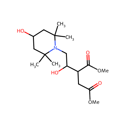 COC(=O)CC(C(=O)OC)C(O)CN1C(C)(C)CC(O)CC1(C)C